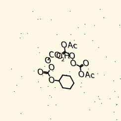 CC(=O)OC(=O)OOC(=O)OC(C)=O.O=C(O)OOC(=O)OC1CCCCC1